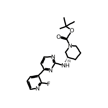 CC(C)(C)OC(=O)N1CCC[C@H](Nc2nccc(-c3cccnc3F)n2)C1